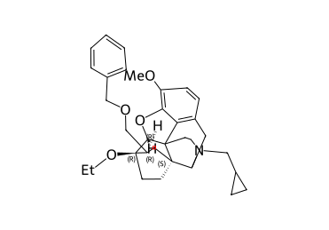 CCO[C@]12CC[C@@]3(C[C@@H]1COCc1ccccc1)C1Cc4ccc(OC)c5c4C3(CCN1CC1CC1)[C@H]2O5